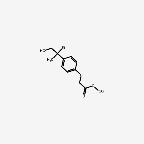 CCC(C)(CO)c1ccc(OCC(=O)OC(C)(C)C)cc1